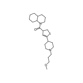 COCCCN1CCC(C2=CC(C(=O)N3CCCC4CCCCC43)CS2)CC1